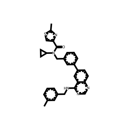 Cc1cccc(CNc2ncnc3ccc(-c4cccc(CN(C(=O)c5csc(C)n5)C5CC5)c4)cc23)c1